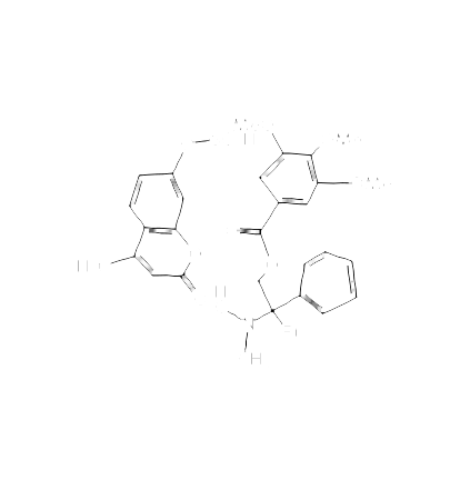 CCC(COC(=O)c1cc(OC)c(OC)c(OC)c1)(c1ccccc1)N(C)C.Cc1cc(=O)oc2cc(OS(=O)(=O)O)ccc12